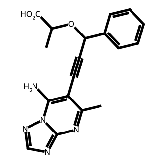 Cc1nc2ncnn2c(N)c1C#CC(OC(C)C(=O)O)c1ccccc1